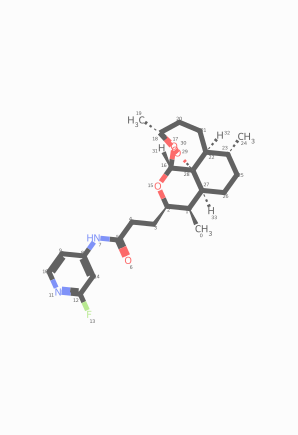 C[C@H]1[C@@H](CCC(=O)Nc2ccnc(F)c2)O[C@@H]2O[C@]3(C)CC[C@H]4[C@H](C)CC[C@@H]1[C@@]24OO3